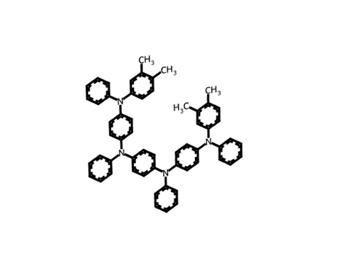 Cc1ccc(N(c2ccccc2)c2ccc(N(c3ccccc3)c3ccc(N(c4ccccc4)c4ccc(N(c5ccccc5)c5ccc(C)c(C)c5)cc4)cc3)cc2)cc1C